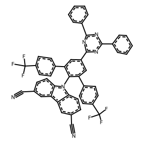 N#Cc1ccc2c(c1)c1cc(C#N)ccc1n2-c1c(-c2ccc(C(F)(F)F)cc2)cc(-c2nc(-c3ccccc3)nc(-c3ccccc3)n2)cc1-c1ccc(C(F)(F)F)cc1